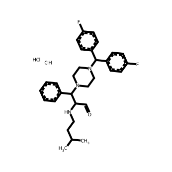 CC(C)CCNC(C=O)C(c1ccccc1)N1CCN(C(c2ccc(F)cc2)c2ccc(F)cc2)CC1.Cl.Cl